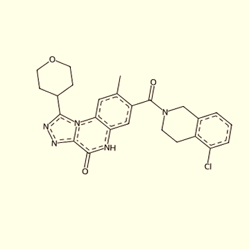 Cc1cc2c(cc1C(=O)N1CCc3c(Cl)cccc3C1)[nH]c(=O)c1nnc(C3CCOCC3)n12